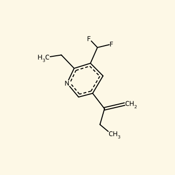 C=C(CC)c1cnc(CC)c(C(F)F)c1